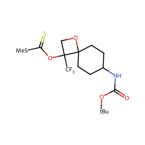 CSC(=S)OC1(C(F)(F)F)COC12CCC(NC(=O)OC(C)(C)C)CC2